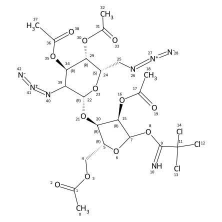 CC(=O)OC[C@H]1OC(OC(=N)C(Cl)(Cl)Cl)[C@H](OC(C)=O)[C@@H]1O[C@H]1O[C@@H](CN=[N+]=[N-])[C@@H](OC(C)=O)[C@H](OC(C)=O)C1N=[N+]=[N-]